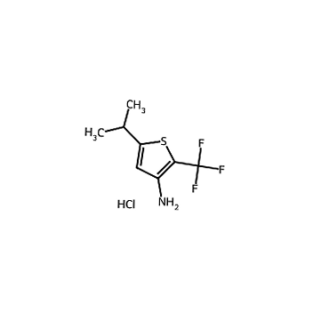 CC(C)c1cc(N)c(C(F)(F)F)s1.Cl